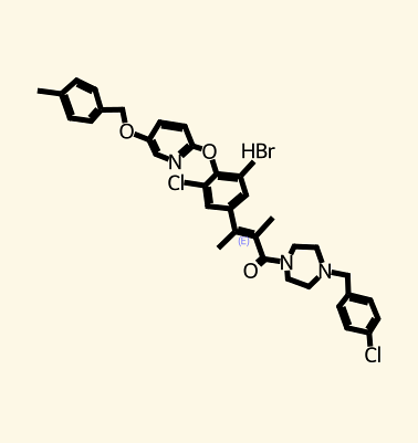 Br.C/C(C(=O)N1CCN(Cc2ccc(Cl)cc2)CC1)=C(/C)c1cc(C)c(Oc2ccc(OCc3ccc(C)cc3)cn2)c(Cl)c1